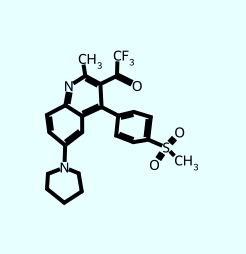 Cc1nc2ccc(N3CCCCC3)cc2c(-c2ccc(S(C)(=O)=O)cc2)c1C(=O)C(F)(F)F